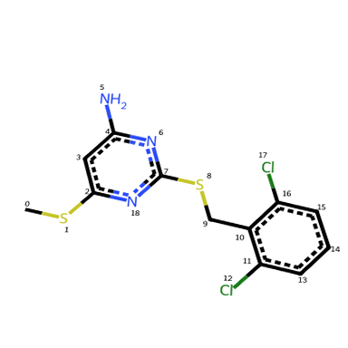 CSc1cc(N)nc(SCc2c(Cl)cccc2Cl)n1